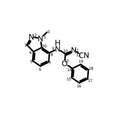 Cn1ncc2cccc(NC(=NC#N)Oc3ccccc3)c21